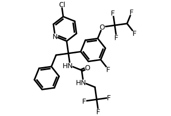 O=C(NCC(F)(F)F)NC(Cc1ccccc1)(c1cc(F)cc(OC(F)(F)C(F)F)c1)c1ccc(Cl)cn1